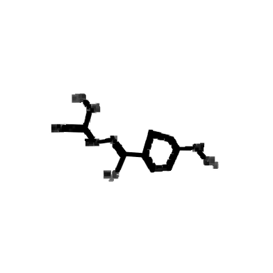 CNc1ccc(/C(C)=N/NC(=N)NO)cc1